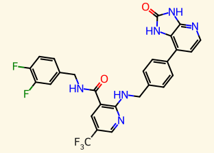 O=C(NCc1ccc(F)c(F)c1)c1cc(C(F)(F)F)cnc1NCc1ccc(-c2ccnc3[nH]c(=O)[nH]c23)cc1